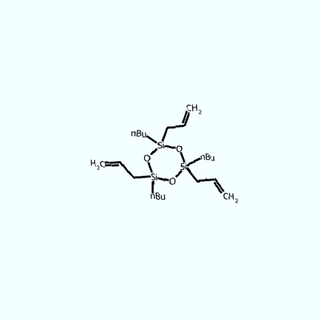 C=CC[Si]1(CCCC)O[Si](CC=C)(CCCC)O[Si](CC=C)(CCCC)O1